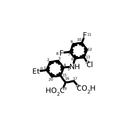 CCc1ccc(Nc2c(F)cc(F)cc2Cl)c(C(CC(=O)O)C(=O)O)c1